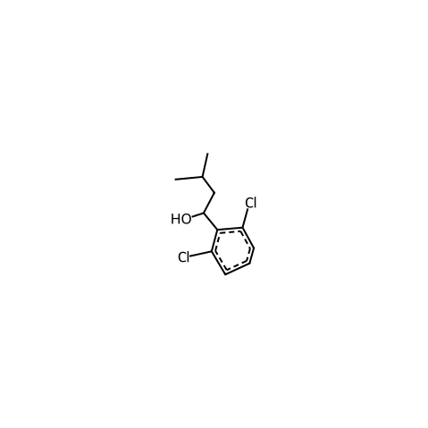 CC(C)CC(O)c1c(Cl)cccc1Cl